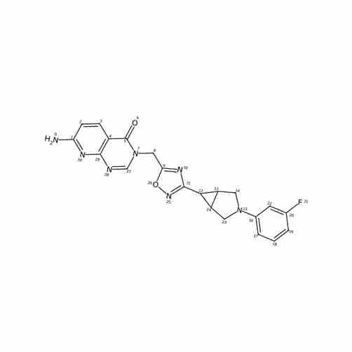 Nc1ccc2c(=O)n(Cc3nc(C4C5CN(c6cccc(F)c6)CC54)no3)cnc2n1